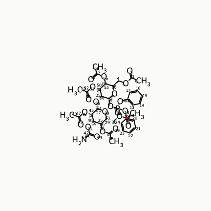 CC(=O)OC[C@H]1O[C@@H](OP(=O)(Oc2ccccc2)Oc2ccccc2)[C@H](O[C@@H]2O[C@H](COC(C)=O)[C@@H](OC(C)=O)[C@H](OC(N)=O)[C@@H]2OC(C)=O)[C@H](OC(C)=O)[C@H]1OC(C)=O